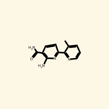 Cc1cccnc1-c1ccc(C(N)=O)c(N)n1